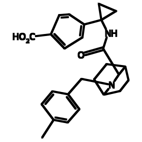 Cc1ccc(CN2C3CCC(CC3)C2C(=O)NC2(c3ccc(C(=O)O)cc3)CC2)cc1